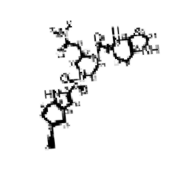 C#Cc1ccc2[nH]c(S(=O)(=O)N3CCN(C(=O)N4CCC5=C(N4)SCN5)C(CC(=O)N(C)C)C3)cc2c1